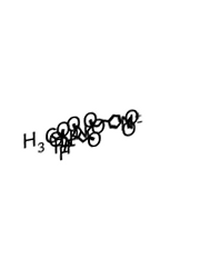 COC(=O)N(C1C(=O)N2C(C(=O)OCc3ccc([N+](=O)[O-])cc3)C(=O)CC12)C(F)(F)F